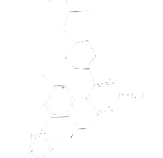 CN[C@@H](CC1CC=C(c2cc(O[C@H](c3ccc(Cl)cc3-n3ccc(C)n3)C(F)(F)F)nc(N)n2)CC1)C(=O)O